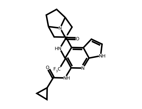 O=C(Nc1cc(N2CC3CCC(C2)N3C(=O)NCC(F)(F)F)c2cc[nH]c2n1)C1CC1